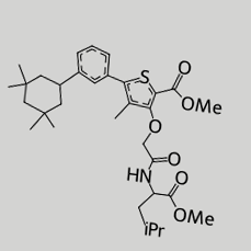 COC(=O)c1sc(-c2cccc(C3CC(C)(C)CC(C)(C)C3)c2)c(C)c1OCC(=O)NC(CC(C)C)C(=O)OC